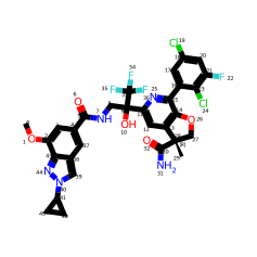 COc1cc(C(=O)NCC(O)(c2cc3c(c(-c4cc(Cl)cc(F)c4Cl)n2)OC[C@]3(C)C(N)=O)C(F)(F)F)cc2cn(C3CC3)nc12